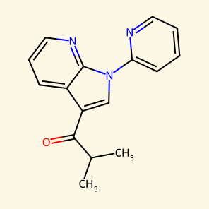 CC(C)C(=O)c1cn(-c2ccccn2)c2ncccc12